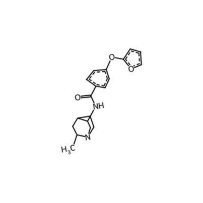 CC1CC2CCN1CC2NC(=O)c1ccc(Oc2ccco2)cc1